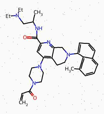 C=CC(=O)N1CCN(c2cc(C(=O)NC(C)CN(CC)CC)nc3c2CCN(c2cccc4cccc(C)c24)C3)CC1